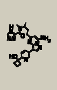 CC(CCc1cc(N)n2ncc(-c3ccc(C4(O)CCC4)nc3)c2n1)N(C)C(=O)c1nnc[nH]1